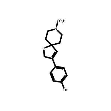 O=C(O)N1CCC2(C=C(c3ccc(O)cc3)CO2)CC1